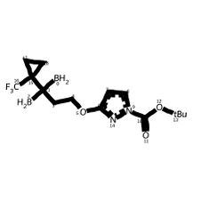 BC(B)(CCOc1ccn(C(=O)OC(C)(C)C)n1)C1(C(F)(F)F)CC1